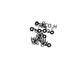 CN(C(=O)C(CC(O)CNC(=O)OCc1ccccc1)NC(=O)OC(C)(C)C)[C@@H](Cc1cc(-c2ccc(OCc3ccccc3)c(C[C@H](NC(=O)OCc3ccccc3)C(=O)O)c2)ccc1OCc1ccccc1)C(=O)OCc1ccccc1